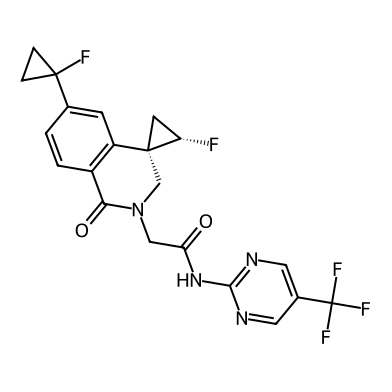 O=C(CN1C[C@@]2(C[C@@H]2F)c2cc(C3(F)CC3)ccc2C1=O)Nc1ncc(C(F)(F)F)cn1